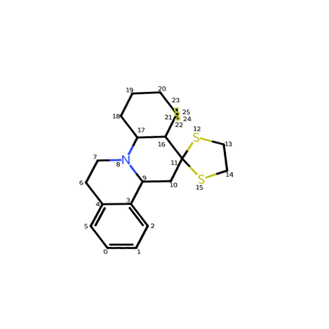 c1ccc2c(c1)CCN1C2CC2(SCCS2)C2C1CCCC21SCCS1